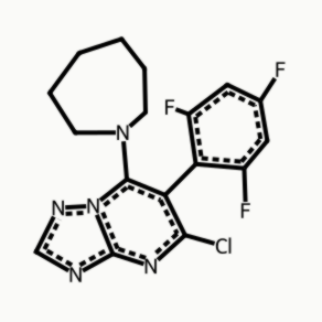 Fc1cc(F)c(-c2c(Cl)nc3ncnn3c2N2CCCCCC2)c(F)c1